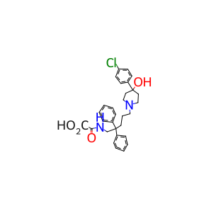 O=C(O)C(=O)NCC(CCCN1CCC(O)(c2ccc(Cl)cc2)CC1)(c1ccccc1)c1ccccc1